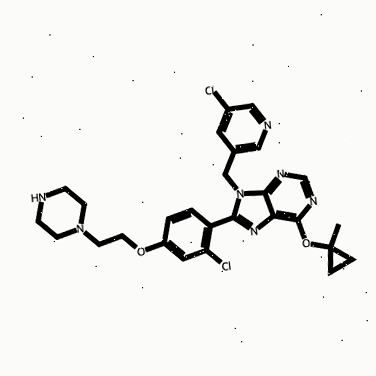 CC1(Oc2ncnc3c2nc(-c2ccc(OCCN4CCNCC4)cc2Cl)n3Cc2cncc(Cl)c2)CC1